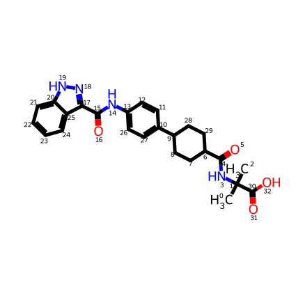 CC(C)(NC(=O)C1CCC(c2ccc(NC(=O)c3n[nH]c4ccccc34)cc2)CC1)C(=O)O